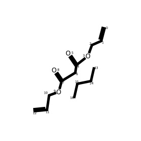 C=CCOC(=O)CC(=O)OCC=C.CCCC